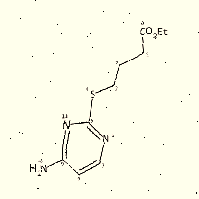 CCOC(=O)CCCSc1nccc(N)n1